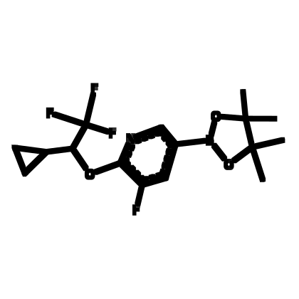 CC1(C)OB(c2cnc(OC(C3CC3)C(F)(F)F)c(F)c2)OC1(C)C